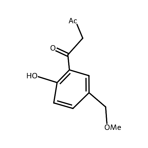 COCc1ccc(O)c(C(=O)CC(C)=O)c1